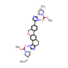 COC[C@H]1C[C@@H](c2nc3c([nH]2)-c2cc4c(cc2CC3)-c2ccc(-c3cnc([C@@H]5C[C@H](C)CN5C(=O)OC(C)(C)C)[nH]3)cc2CO4)N(C(=O)OC(C)(C)C)C1